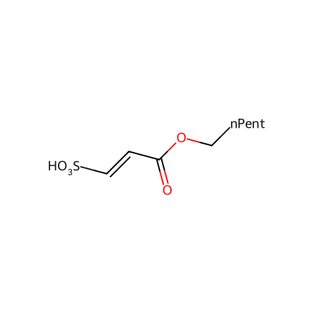 CCCCCCOC(=O)C=CS(=O)(=O)O